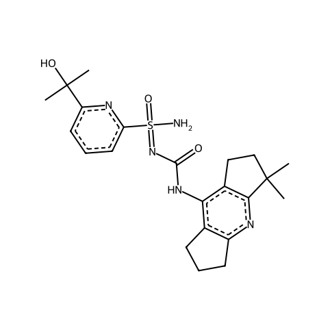 CC(C)(O)c1cccc(S(N)(=O)=NC(=O)Nc2c3c(nc4c2CCC4(C)C)CCC3)n1